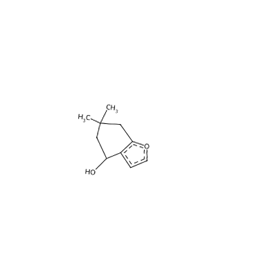 CC1(C)Cc2occc2C(O)C1